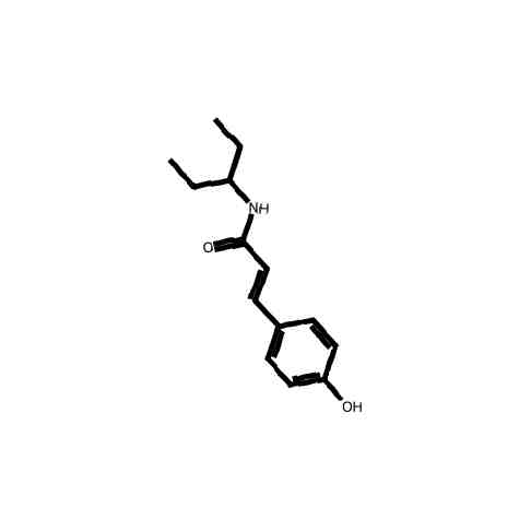 CCC(CC)NC(=O)C=Cc1ccc(O)cc1